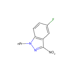 CCCn1nc([N+](=O)[O-])c2cc(F)ccc21